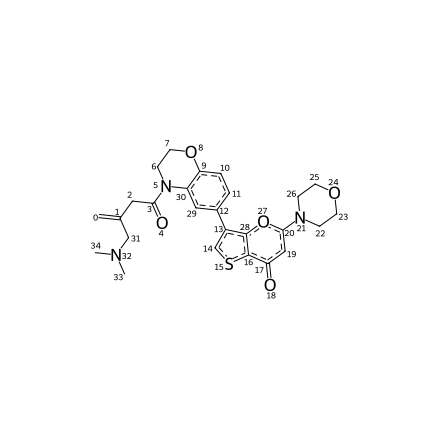 C=C(CC(=O)N1CCOc2ccc(-c3csc4c(=O)cc(N5CCOCC5)oc34)cc21)CN(C)C